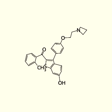 Cc1ccccc1C(=O)c1sc2cc(O)ccc2c1-c1ccc(OCCN2CCC2)cc1